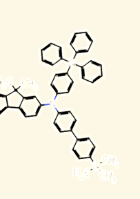 CC1(C)c2ccccc2-c2ccc(N(c3ccc(-c4ccc([Si](C)(C)C)cc4)cc3)c3ccc([Si](c4ccccc4)(c4ccccc4)c4ccccc4)cc3)cc21